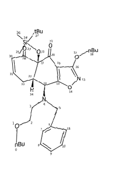 CCCCOCCN(Cc1ccccc1)[C@@H]1c2onc(OCCCC)c2C(=O)[C@@]2(O[Si](C)(C)C(C)(C)C)C(=O)C=CC[C@@H]12